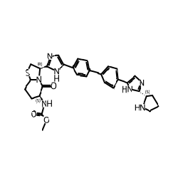 COC(=O)N[C@H]1CCC2SC[C@@H](c3ncc(-c4ccc(-c5ccc(-c6cnc([C@@H]7CCCN7)[nH]6)cc5)cc4)[nH]3)N2C1=O